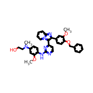 COc1cc(N(C)CCO)ccc1Nc1nccc(-c2c(-c3ccc(OCc4ccccc4)c(OC)c3)nc3ccccn23)n1